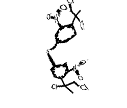 CC(Cl)(CCl)c1ccc(Sc2ccc(C(C)(Cl)CCl)c([N+](=O)[O-])c2)cc1[N+](=O)[O-]